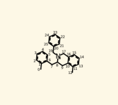 Cc1ccccc1CC1Cc2c(C)cccc2CN1Cc1ccccc1